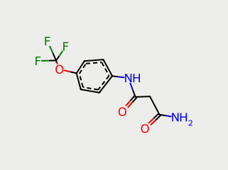 NC(=O)CC(=O)Nc1ccc(OC(F)(F)F)cc1